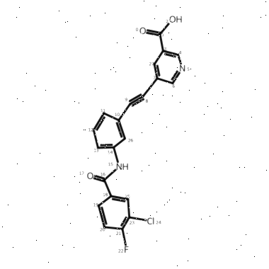 O=C(O)c1cncc(C#Cc2cccc(NC(=O)c3ccc(F)c(Cl)c3)c2)c1